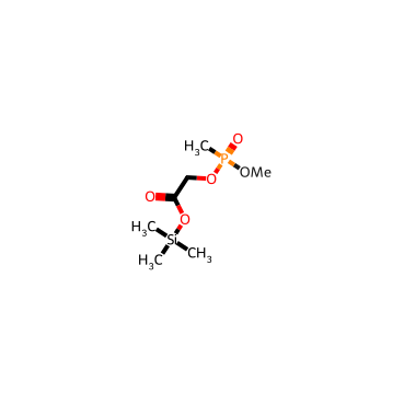 COP(C)(=O)OCC(=O)O[Si](C)(C)C